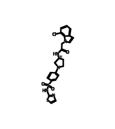 O=C(Cn1ccc2cccc(Cl)c21)N[C@H]1CCN(c2ccc(S(=O)(=O)Nc3nccs3)cc2)C1